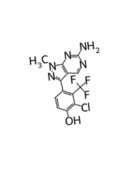 Cn1nc(-c2ccc(O)c(Cl)c2C(F)(F)F)c2cnc(N)nc21